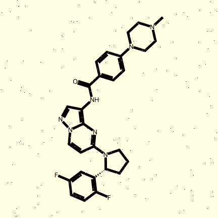 CN1CCN(c2ccc(C(=O)Nc3cnn4ccc(N5CCC[C@@H]5c5cc(F)ccc5F)nc34)cc2)CC1